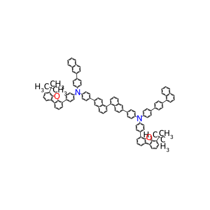 CC(C)(C)c1cccc2c1oc1c(-c3ccc(N(c4ccc(-c5ccc(-c6cccc7ccccc67)cc5)cc4)c4ccc(-c5ccc6c(-c7cccc8cc(-c9ccc(N(c%10ccc(-c%11ccc%12ccccc%12c%11)cc%10)c%10ccc(-c%11cccc%12c%11oc%11c(C(C)(C)C)cccc%11%12)cc%10)cc9)ccc78)cccc6c5)cc4)cc3)cccc12